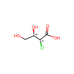 O=C(O)[C@@H](Cl)[C@H](O)CO